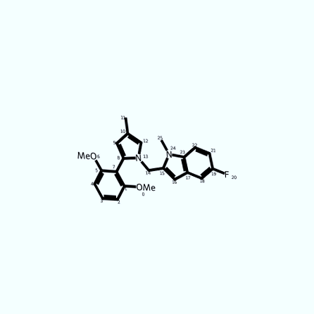 COc1cccc(OC)c1-c1cc(C)cn1Cc1cc2cc(F)ccc2n1C